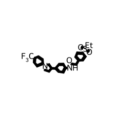 CCS(=O)(=O)c1ccc(CC(=O)Nc2ccc(C3CCN(c4ccc(C(F)(F)F)cc4)C3)cc2)cc1